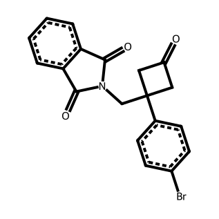 O=C1CC(CN2C(=O)c3ccccc3C2=O)(c2ccc(Br)cc2)C1